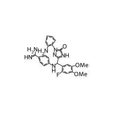 COc1cc(F)c(C(Nc2ccc(C(=N)N)cc2)c2nn(-c3ccccc3N)c(=O)[nH]2)cc1OC